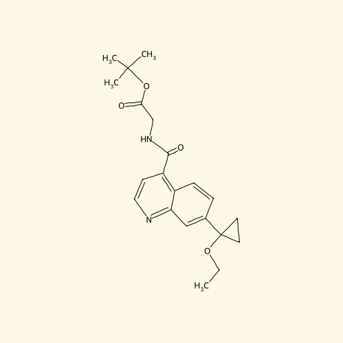 CCOC1(c2ccc3c(C(=O)NCC(=O)OC(C)(C)C)ccnc3c2)CC1